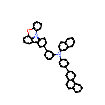 c1cc(-c2ccc3c(c2)c2cccc4c2n3-c2ccccc2O4)cc(N(c2ccc(-c3ccc4c(ccc5ccccc54)c3)cc2)c2ccc3ccccc3c2)c1